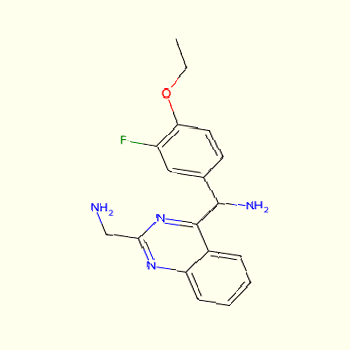 CCOc1ccc(C(N)c2nc(CN)nc3ccccc23)cc1F